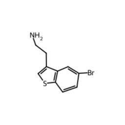 NCCc1csc2ccc(Br)cc12